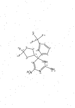 NC1=NC(c2cccc(C(F)(F)F)n2)(C2CCC(F)(F)C2)NC(N)=N1